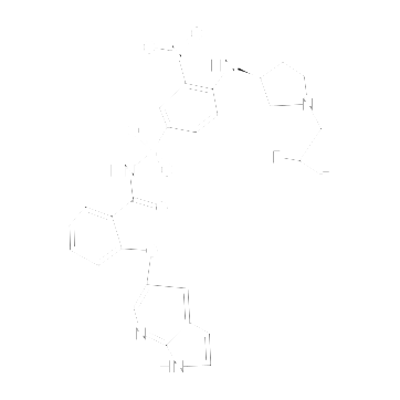 O=C(NS(=O)(=O)c1ccc(N[C@H]2CCN(CC(F)F)C2)c([N+](=O)[O-])c1)c1ccccc1Oc1cnc2[nH]ccc2c1